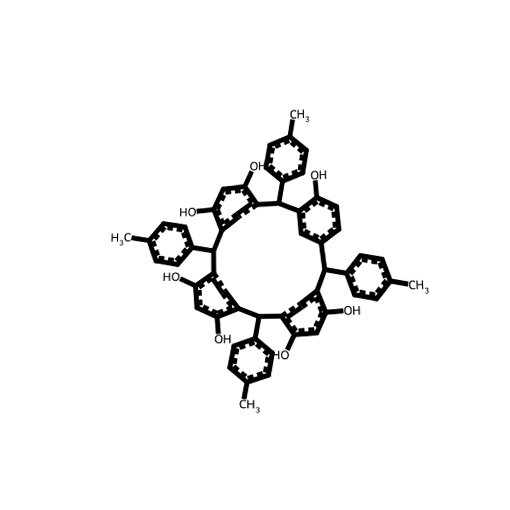 Cc1ccc(C2c3ccc(O)c(c3)C(c3ccc(C)cc3)c3cc(c(O)cc3O)C(c3ccc(C)cc3)c3cc(c(O)cc3O)C(c3ccc(C)cc3)c3cc2c(O)cc3O)cc1